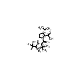 CC(C)[C@H]1CCN(C(=O)[C@@H](NC(=O)C(F)(F)F)C(C)(C)C)[C@@H]1C(=O)O